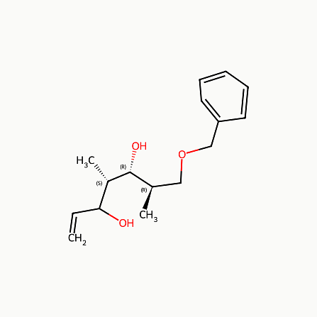 C=CC(O)[C@H](C)[C@H](O)[C@H](C)COCc1ccccc1